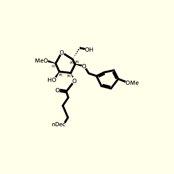 CCCCCCCCCCCCCC(=O)O[C@@H]1[C@@H](O)[C@@H](OC)O[C@H](CO)[C@H]1OCc1ccc(OC)cc1